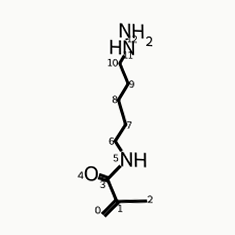 C=C(C)C(=O)NCCCCCNN